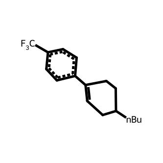 CCCCC1CC=C(c2ccc(C(F)(F)F)cc2)CC1